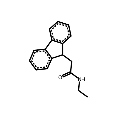 [CH2]CNC(=O)CC1c2ccccc2-c2ccccc21